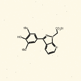 CCOC(=O)Cn1nc(-c2cc(C(C)(C)C)c(O)c(C(C)(C)C)c2)c2cccnc21